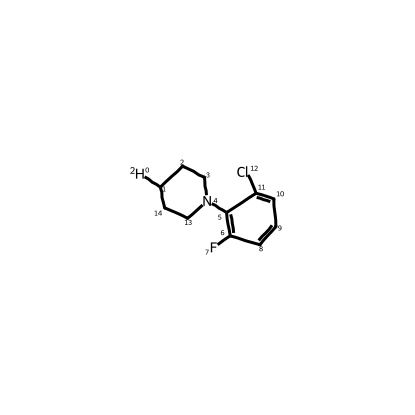 [2H]C1CCN(c2c(F)cccc2Cl)CC1